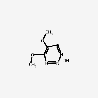 COc1cnnnc1OC.Cl